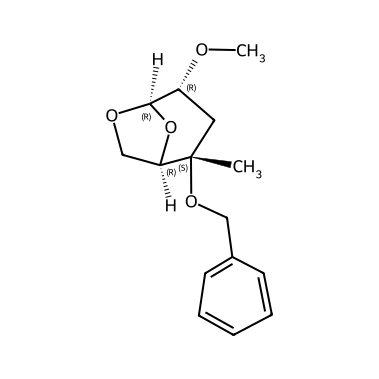 CO[C@@H]1C[C@](C)(OCc2ccccc2)[C@H]2CO[C@@H]1O2